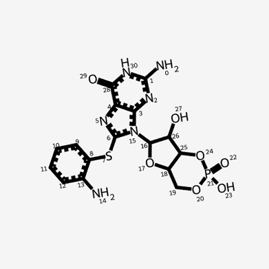 Nc1nc2c(nc(Sc3ccccc3N)n2C2OC3COP(=O)(O)OC3C2O)c(=O)[nH]1